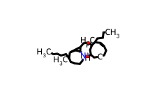 CCCCCC1(C)CCCC/[N+]2=C3\CC1C3CC[C@@H]1C[C@@H](CCCC/C=C\C1(C)CCCC)C2